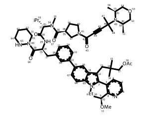 CCn1c(-c2cccnc2[C@H](C)OC)c(CC(C)(C)COC(C)=O)c2cc(-c3cccc(C[C@H](NC(=O)[C@H](C(C)C)N(C)C(=O)[C@H]4CCN(C(=O)C#CC(C)(C)N5[C@H](C)COC[C@@H]5C)C4)C(=O)N4CCCCN4)c3)ccc21